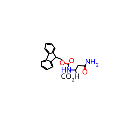 NC(=O)CC(NC(=O)OCC1c2ccccc2-c2ccccc21)C(=O)O